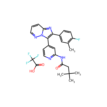 Cc1cc(-c2nc3cccnn3c2-c2ccnc(NC(=O)CC(C)(C)C)c2)ccc1F.O=C(O)C(F)(F)F